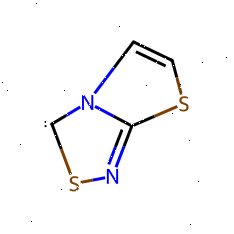 [C]1SN=C2SC=CN12